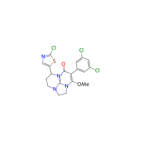 COc1c(-c2cc(Cl)cc(Cl)c2)c(=O)[n+]2c3n1CCN3CCC2c1cnc(Cl)s1